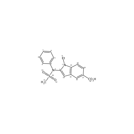 CCn1c(N(c2ccccc2)S(C)(=O)=O)cc2cc(C(=O)O)ccc21